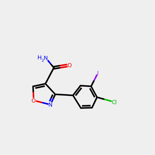 NC(=O)c1conc1-c1ccc(Cl)c(I)c1